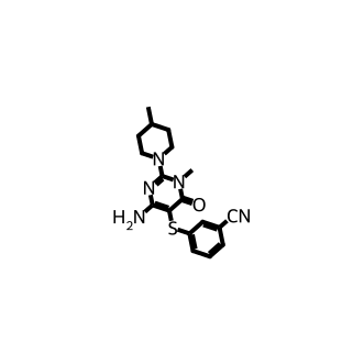 CC1CCN(c2nc(N)c(Sc3cccc(C#N)c3)c(=O)n2C)CC1